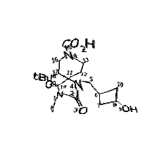 CN1C(=O)N(CC2CC(O)C2)C2(CCN(C(=O)O)CC2C(C)(C)C)C1=O